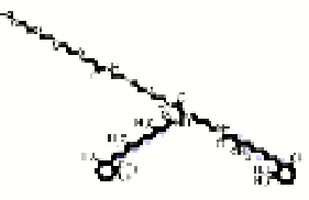 CC1=CCCC(C)(C)\C1=C/C=C/C=C/C(C)=C/C(=O)NCCCC[C@@H](NC(=O)/C=C(C)/C=C/C=C(C)/C=C/C1=C(C)CCCC1(C)C)C(=O)NCCOCCOCCNC(=O)CCOCCOCCOCCOC=O